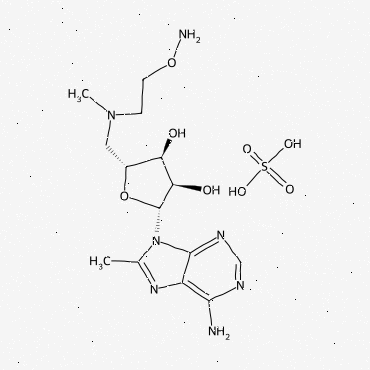 Cc1nc2c(N)ncnc2n1[C@@H]1O[C@H](CN(C)CCON)[C@@H](O)[C@H]1O.O=S(=O)(O)O